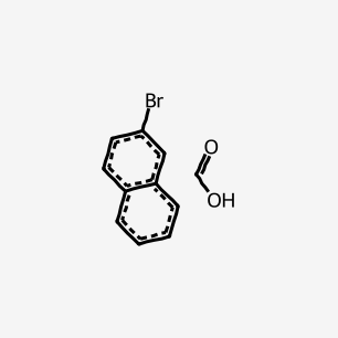 Brc1ccc2ccccc2c1.O=CO